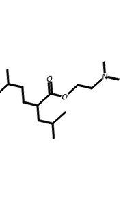 CC(C)CCC(CC(C)C)C(=O)OCCN(C)C